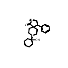 N#CC1(N2CCC3(CC2)C(=O)NCC3c2ccccc2)CCCCC1